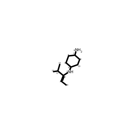 C/C=C(\NC1CCC(N)CC1)C(C)C